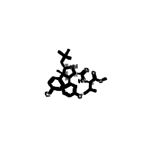 COC(=O)[C@@H](NC(=O)[C@H]1N[C@H](CC(C)(C)C)[C@@](C)(c2ccc(Cl)cc2)[C@@H]1c1cccc(Cl)c1)C(C)C